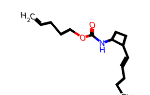 C=CCCCOC(=O)NC1CCC1C=CCCC